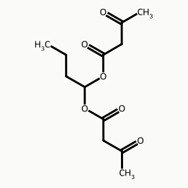 CCCC(OC(=O)CC(C)=O)OC(=O)CC(C)=O